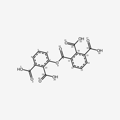 O=C(O)c1cccc(OC(=O)c2cccc(C(=O)O)c2C(=O)O)c1C(=O)O